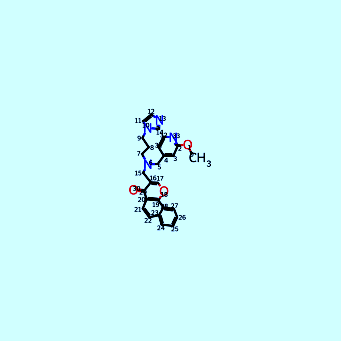 COc1cc(CN(CCCn2ccnc2)Cc2coc3c(ccc4ccccc43)c2=O)ccn1